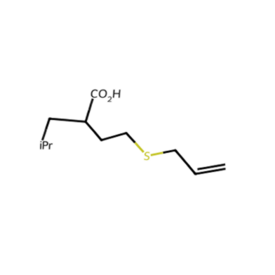 C=CCSCCC(CC(C)C)C(=O)O